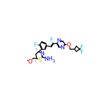 COC[C@@]1(C)C[C@@](C)(c2cc(/C=C(\F)c3cnc(OCC4CC(F)(F)C4)cn3)ccc2F)N=C(N)S1